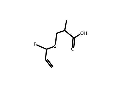 C=CC(F)SCC(C)C(=O)O